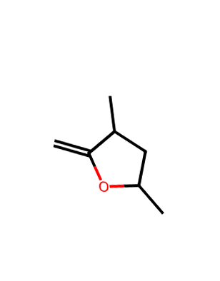 C=C1OC(C)CC1C